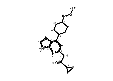 CCSNC1CCC(c2cc(NC(=O)C3CC3)nc3[nH]ccc23)CC1